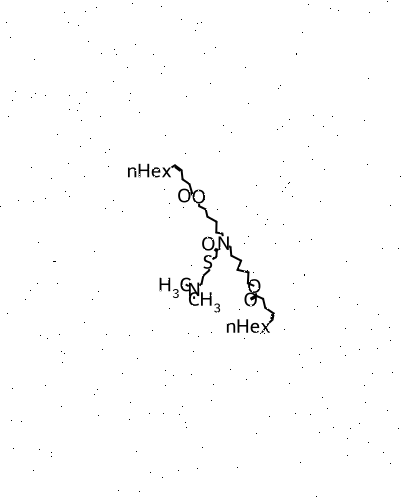 CCCCCC/C=C\CCC(=O)OCCCCCCN(CCCCCCOC(=O)CC/C=C\CCCCCC)C(=O)CSCCCN(C)C